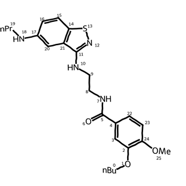 CCCCOc1cc(C(=O)NCCNc2nsc3ccc(NCCC)cc23)ccc1OC